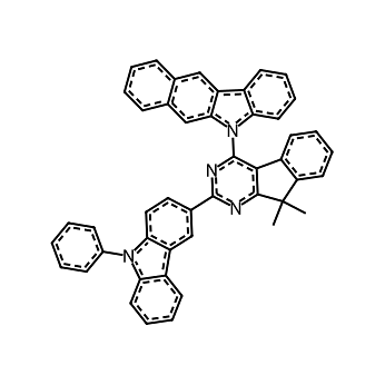 CC1(C)c2ccccc2-c2c(-n3c4ccccc4c4cc5ccccc5cc43)nc(-c3ccc4c(c3)c3ccccc3n4-c3ccccc3)nc21